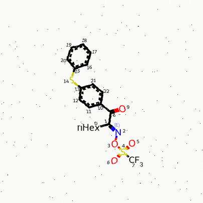 CCCCCC/C(=N\OS(=O)(=O)C(F)(F)F)C(=O)c1ccc(Sc2ccccc2)cc1